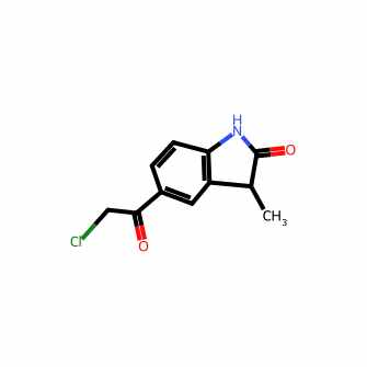 CC1C(=O)Nc2ccc(C(=O)CCl)cc21